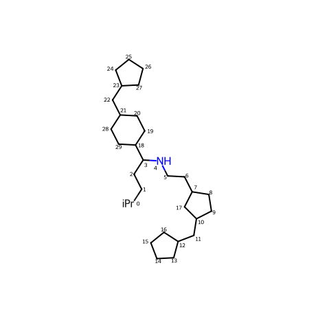 CC(C)CCC(NCCC1CCC(CC2CCCC2)C1)C1CCC(CC2CCCC2)CC1